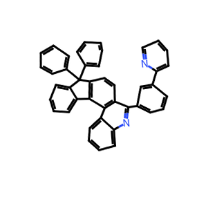 c1ccc(C2(c3ccccc3)c3ccccc3-c3c2ccc2c(-c4cccc(-c5ccccn5)c4)nc4ccccc4c32)cc1